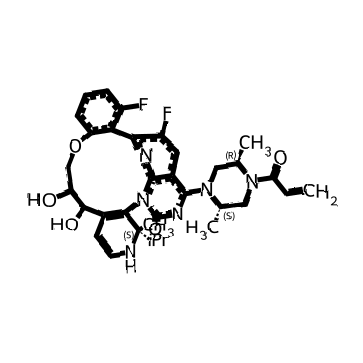 C=CC(=O)N1C[C@H](C)N(c2nc(=O)n3c4nc(c(F)cc24)-c2c(F)cccc2OCC(O)C(O)C2=C3[C@](C)(C(C)C)NC=C2)C[C@H]1C